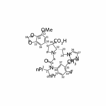 CCCC(CCC)N(C(=O)CN1C[C@H](c2cc(OC)c3c(c2)OCO3)[C@@H](C(=O)O)[C@@H]1CCn1ccnc1)c1ccc(F)c(C)c1